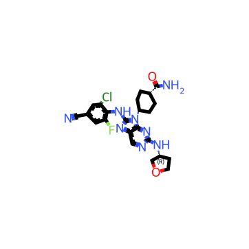 N#Cc1cc(F)c(Nc2nc3cnc(N[C@@H]4CCOC4)nc3n2[C@H]2CC[C@@H](C(N)=O)CC2)c(Cl)c1